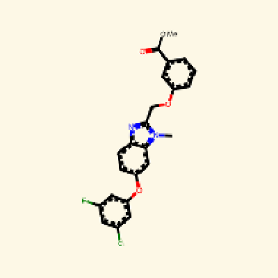 COC(=O)c1cccc(OCc2nc3ccc(Oc4cc(F)cc(Cl)c4)cc3n2C)c1